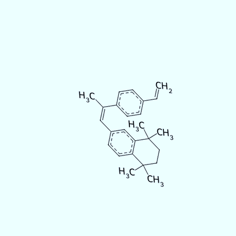 C=Cc1ccc(C(C)=Cc2ccc3c(c2)C(C)(C)CCC3(C)C)cc1